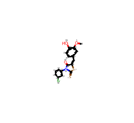 COc1cc(/C=C2/SC(=S)N(c3cccc(Br)c3)C2=O)ccc1O